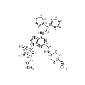 COC[C@H]1O[C@@H](n2cnc3c(NCC(c4ccccc4)c4ccccc4)nc(CNC4CCC(OC)CC4)nc32)[C@H](O)[C@@H]1O